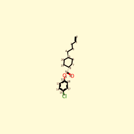 C=CCCC[C@H]1CC[C@H](C(=O)Oc2ccc(Cl)cc2)CC1